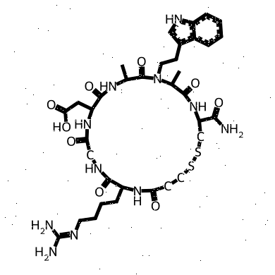 CC1NC(=O)C(CC(=O)O)NC(=O)CNC(=O)C(CCCCN=C(N)N)NC(=O)CCSSCC(C(N)=O)NC(=O)C(C)N(CCc2c[nH]c3ccccc23)C1=O